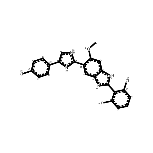 COc1cc2[nH]c(-c3c(F)cccc3Cl)nc2cc1-c1nc(-c2ccc(Cl)cc2)c[nH]1